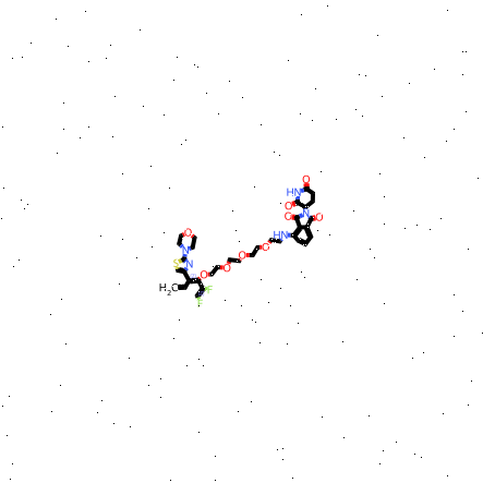 C=C/C(=C(OCCOCCOCCOCCNc1cccc2c1C(=O)N(C1CCC(=O)NC1=O)C2=O)\C(F)=C\F)c1csc(N2CCOCC2)n1